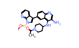 CC(=O)N1CCC(Nc2c(N)cnc3ccc(-c4cn(SOI)c5ncccc45)cc23)CC1